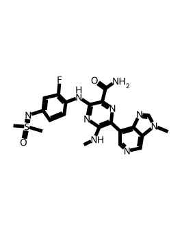 CNc1nc(Nc2ccc(N=S(C)(C)=O)cc2F)c(C(N)=O)nc1-c1cncc2c1ncn2C